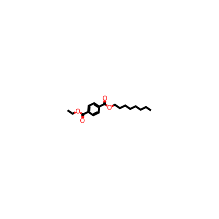 CCCCCCCCOC(=O)c1ccc(C(=O)OCC)cc1